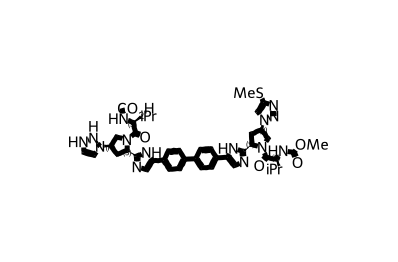 COC(=O)N[C@H](C(=O)N1C[C@H](n2cc(SC)nn2)C[C@H]1c1ncc(-c2ccc(-c3ccc(-c4cnc([C@@H]5C[C@@H](N6C=CNN6)CN5C(=O)[C@@H](NC(=O)O)C(C)C)[nH]4)cc3)cc2)[nH]1)C(C)C